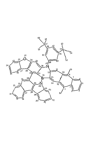 Cc1c2ccccc2c(C)c2cc3c(cc12)B1c2c(cc4oc5ccccc5c4c2-c2cc4ccccc4c4c5ccccc5n1c24)N3c1cc(C(C)(C)C)cc(C(C)(C)C)c1